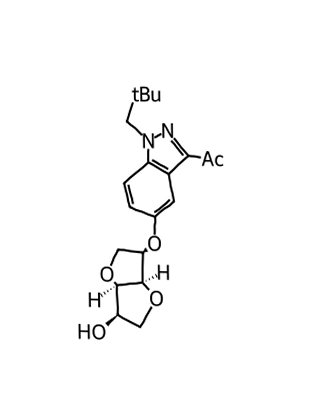 CC(=O)c1nn(CC(C)(C)C)c2ccc(O[C@@H]3CO[C@H]4[C@@H]3OC[C@H]4O)cc12